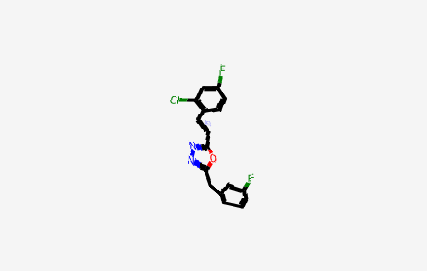 Fc1cccc(Cc2nnc(/C=C/c3ccc(F)cc3Cl)o2)c1